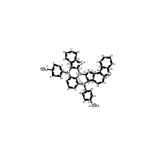 CC(C)(C)c1ccc(N2c3cccc4c3B(c3sc5ccccc5c32)c2sc3c(ccc5oc6ccccc6c53)c2N4c2ccc(C(C)(C)C)cc2)cc1